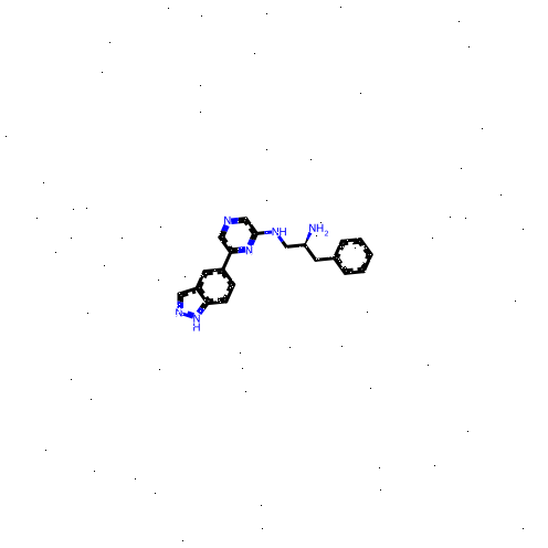 N[C@H](CNc1cncc(-c2ccc3[nH]ncc3c2)n1)Cc1ccccc1